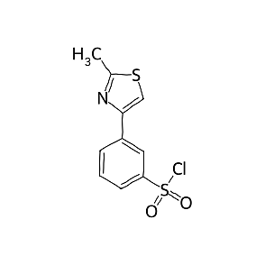 Cc1nc(-c2cccc(S(=O)(=O)Cl)c2)cs1